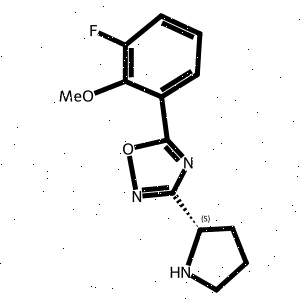 COc1c(F)cccc1-c1nc([C@@H]2CCCN2)no1